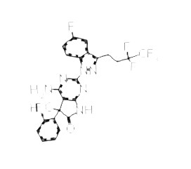 CC1(c2ccccc2F)C(=O)Nc2nc(-n3nc(CCC(F)(F)C(F)(F)F)c4cc(F)ccc43)nc(N)c21